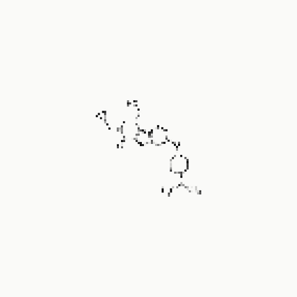 CC(C)N1CCC(Oc2ccc3c(c2)cc2n3C(CO)CN(CC3CC3)C2=O)CC1